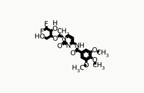 COc1cc(C(=O)Nc2ccn([C@@H](C)OC(CO)C(O)C(F)F)c(=O)n2)cc(OC)c1OC